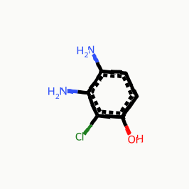 Nc1ccc(O)c(Cl)c1N